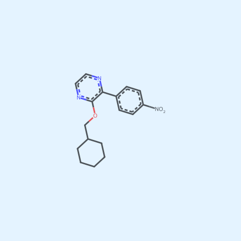 O=[N+]([O-])c1ccc(-c2nccnc2OCC2CCCCC2)cc1